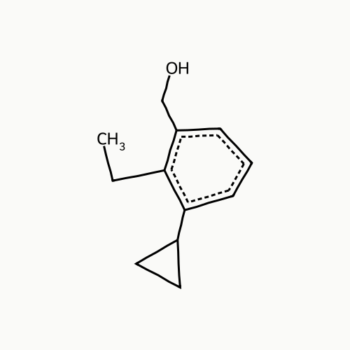 CCc1c(CO)cccc1C1CC1